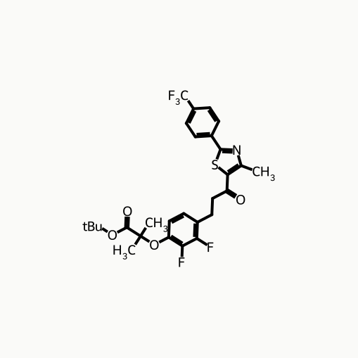 Cc1nc(-c2ccc(C(F)(F)F)cc2)sc1C(=O)CCc1ccc(OC(C)(C)C(=O)OC(C)(C)C)c(F)c1F